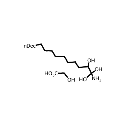 CCCCCCCCCCCCCCCCCCC(O)C(N)(O)O.O=C(O)CO